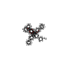 CCc1cccc(C2=CC(CC)C(N(c3ccc(-c4ccccc4)cc3)c3ccc(-c4ccccc4)cc3)(N(c3ccc(-c4ccccc4)cc3)c3ccc(-c4ccccc4)cc3)C=C2)c1